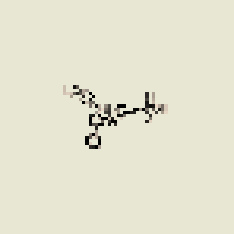 CN1CCN(Cc2ccc(-c3ccccc3)cc2S(=O)(=O)n2ccc(/C=C/C(=O)NO)c2)CC1